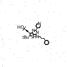 CC(C)(O)C#Cc1c(C(C)(C)C)sc2c(NCCCc3ccccc3)nc(-c3ccncc3)nc12